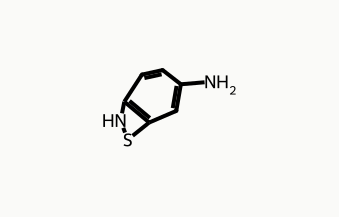 Nc1ccc2[nH]sc2c1